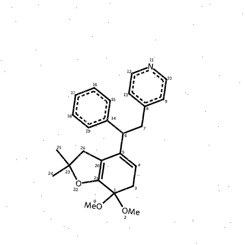 COC1(OC)CC=C(C(Cc2ccncc2)c2ccccc2)C2=C1OC(C)(C)C2